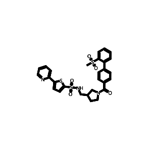 CS(=O)(=O)c1ccccc1-c1ccc(C(=O)N2CCC(CNS(=O)(=O)c3ccc(-c4ccccn4)s3)C2)cc1